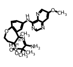 COc1cnc2c(Nc3ccc4c(c3)[C@@]3(C)N=C(N)C(C)(C)S(=O)(=O)[C@@H]3CCO4)ncnc2c1